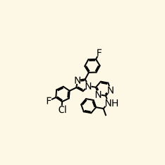 CC(Nc1nccc(-n2cc(-c3ccc(F)c(Cl)c3)nc2-c2ccc(F)cc2)n1)c1ccccc1